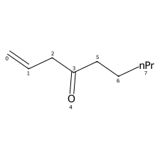 C=CCC(=O)CCCCC